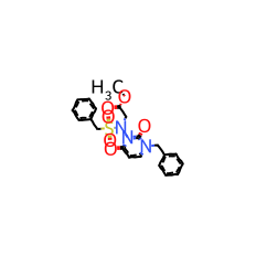 COC(=O)CN(n1c(=O)ccn(Cc2ccccc2)c1=O)S(=O)(=O)Cc1ccccc1